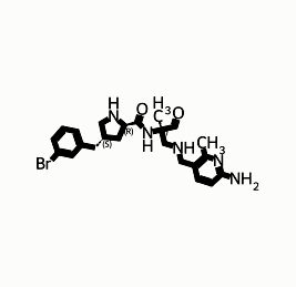 Cc1nc(N)ccc1CNC[C@](C)(C=O)NC(=O)[C@H]1C[C@H](Cc2cccc(Br)c2)CN1